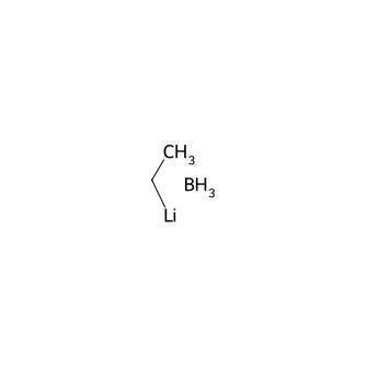 B.[Li][CH2]C